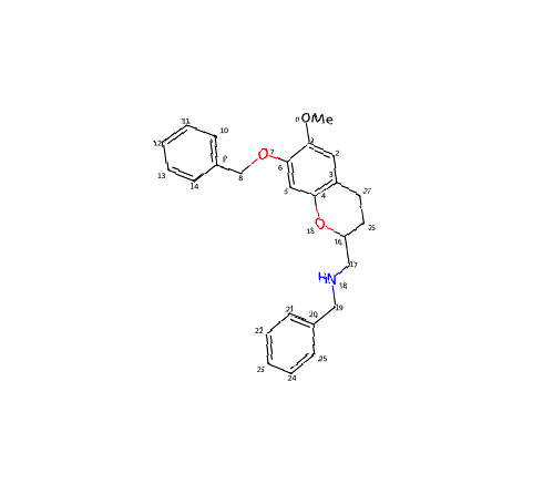 COc1cc2c(cc1OCc1ccccc1)OC(CNCc1ccccc1)CC2